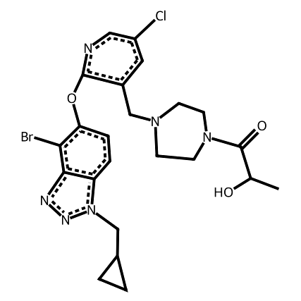 CC(O)C(=O)N1CCN(Cc2cc(Cl)cnc2Oc2ccc3c(nnn3CC3CC3)c2Br)CC1